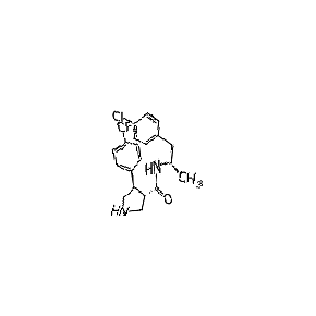 C[C@H](Cc1ccc(Cl)cc1)NC(=O)[C@@H]1CNC[C@H]1c1ccc(C(F)(F)F)cc1